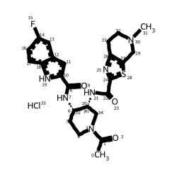 CC(=O)N1CC[C@H](NC(=O)c2cc3cc(F)ccc3[nH]2)[C@H](NC(=O)c2nc3c(s2)CN(C)CC3)C1.Cl